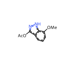 COc1cccc2c(OC(C)=O)n[nH]c12